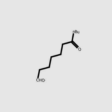 CCCCC(=O)CCCCC[C]=O